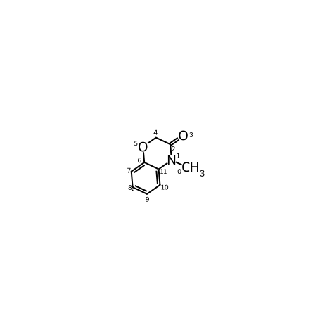 CN1C(=O)COc2c[c]ccc21